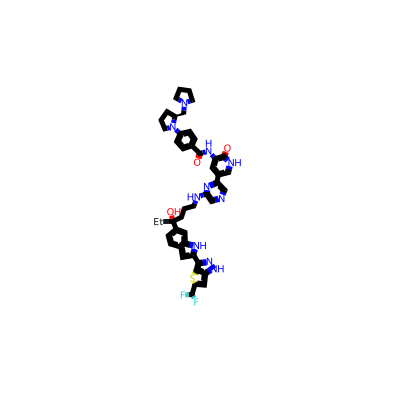 CCC(O)(CCCNc1cncc(-c2c[nH]c(=O)c(NC(=O)c3ccc(N4CCC[C@H]4CN4CCCC4)cc3)c2)n1)c1ccc2cc(-c3n[nH]c4cc(C(F)F)sc34)[nH]c2c1